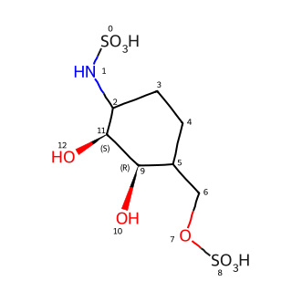 O=S(=O)(O)NC1CCC(COS(=O)(=O)O)[C@@H](O)[C@H]1O